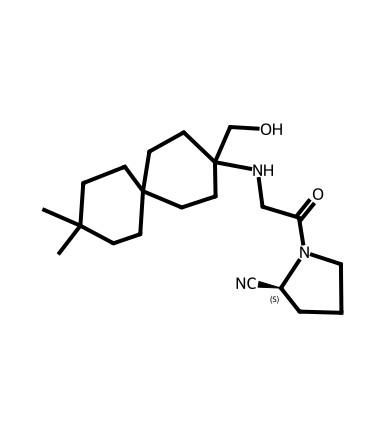 CC1(C)CCC2(CC1)CCC(CO)(NCC(=O)N1CCC[C@H]1C#N)CC2